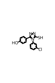 Oc1ccc(-c2nnc(S)n2-c2cccc(Cl)c2)cc1